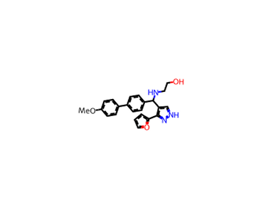 COc1ccc(-c2ccc(C(NCCO)c3c[nH]nc3-c3ccco3)cc2)cc1